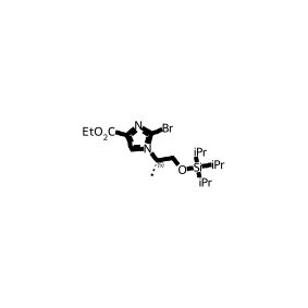 CCOC(=O)c1cn([C@@H](C)CO[Si](C(C)C)(C(C)C)C(C)C)c(Br)n1